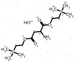 C[Si](C)(C)CCOC(=O)CC(N)C(=O)OCC[Si](C)(C)C.Cl